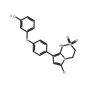 O=S1(=O)CCn2c(Cl)cc(-c3ccc(Oc4cccc(C(F)(F)F)c4)cc3)c2N1